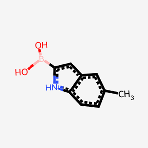 Cc1ccc2[nH]c(B(O)O)cc2c1